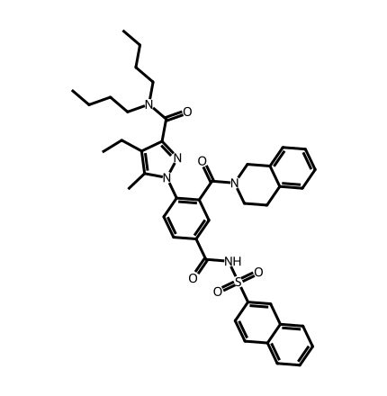 CCCCN(CCCC)C(=O)c1nn(-c2ccc(C(=O)NS(=O)(=O)c3ccc4ccccc4c3)cc2C(=O)N2CCc3ccccc3C2)c(C)c1CC